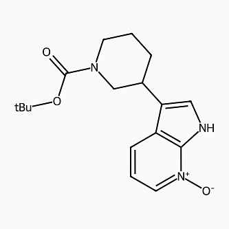 CC(C)(C)OC(=O)N1CCCC(c2c[nH]c3c2ccc[n+]3[O-])C1